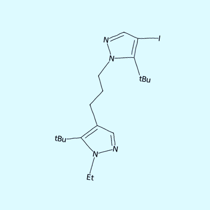 CCn1ncc(CCCn2ncc(I)c2C(C)(C)C)c1C(C)(C)C